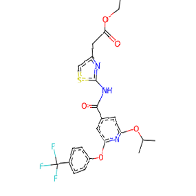 CCOC(=O)Cc1csc(NC(=O)c2cc(Oc3ccc(C(F)(F)F)cc3)nc(OC(C)C)c2)n1